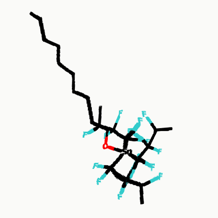 CCCCCCCCCC[O][Sn]([C](F)(F)C(F)(F)C(C)F)([C](F)(F)C(F)(F)C(C)F)[C](F)(F)C(F)(F)C(C)F